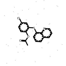 CC(=O)Oc1ccc(Cl)cc1Sc1cccc2cccnc12